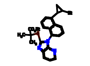 CCOC(=O)C(C)(C)Sc1nc2cccnc2n1-c1cccc2c(C3CC3CC)cccc12